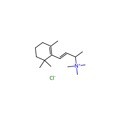 CC1=C(/C=C/C(C)[N+](C)(C)C)C(C)(C)CCC1.[Cl-]